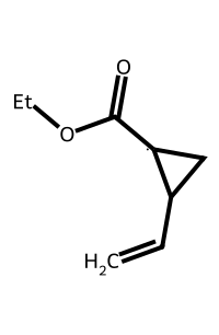 C=CC1C[C]1C(=O)OCC